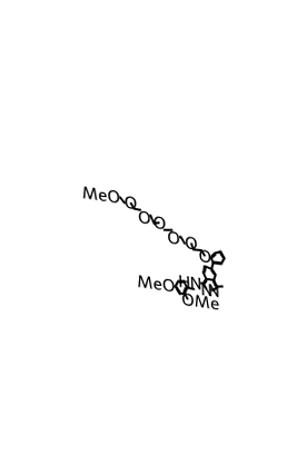 COCCOCCOCCOCCOCCOCCOc1ccccc1-c1ccc2c(NCc3ccc(OC)cc3OC)nnc(C)c2c1